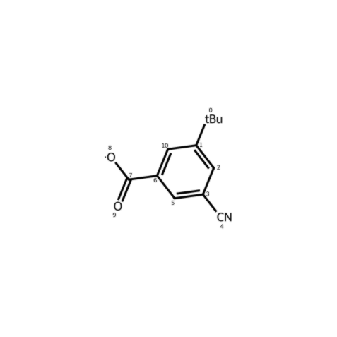 CC(C)(C)c1cc(C#N)cc(C([O])=O)c1